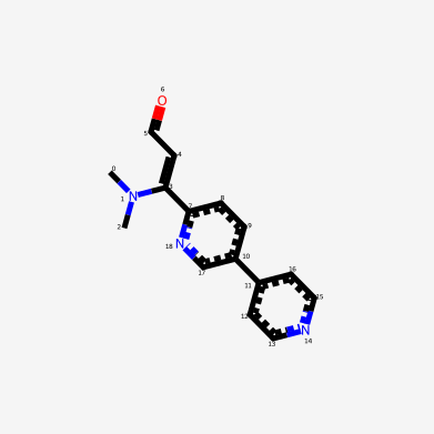 CN(C)C(=CC=O)c1ccc(-c2ccncc2)cn1